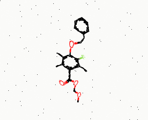 COCOC(=O)c1c(C)c(C)c(OCc2ccccc2)c(F)c1C